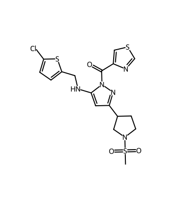 CS(=O)(=O)N1CCC(c2cc(NCc3ccc(Cl)s3)n(C(=O)c3cscn3)n2)C1